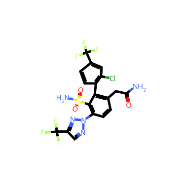 NC(=O)Cc1ccc(-n2ncc(C(F)(F)F)n2)c(S(N)(=O)=O)c1-c1ccc(C(F)(F)F)cc1Cl